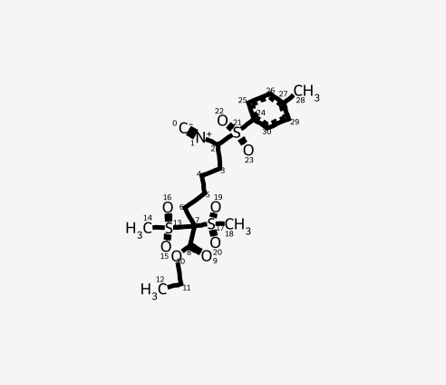 [C-]#[N+]C(CCCCC(C(=O)OCC)(S(C)(=O)=O)S(C)(=O)=O)S(=O)(=O)c1ccc(C)cc1